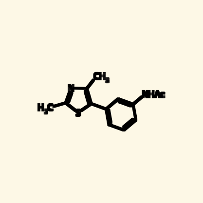 CC(=O)Nc1cccc(-c2sc(C)nc2C)c1